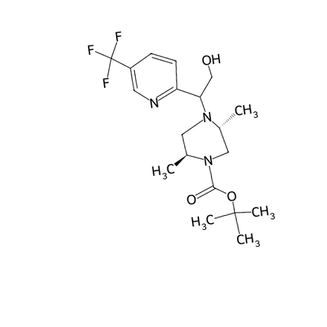 C[C@@H]1CN(C(=O)OC(C)(C)C)[C@@H](C)CN1C(CO)c1ccc(C(F)(F)F)cn1